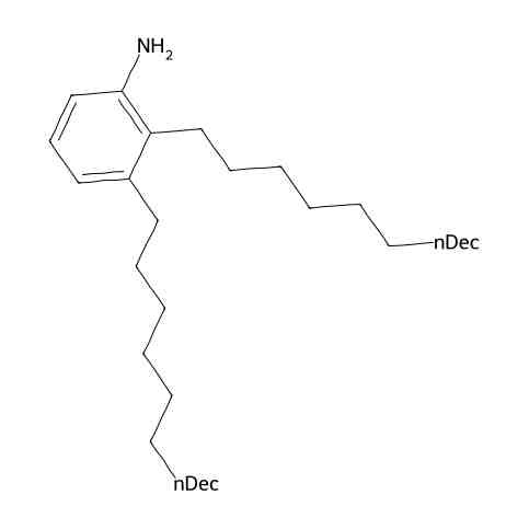 CCCCCCCCCCCCCCCCc1cccc(N)c1CCCCCCCCCCCCCCCC